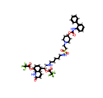 O=C(Nc1ccccc1-c1ccccc1)OC1CCN(CCS(=O)(=O)NCCCCCNC[C@H](OC(=O)C(F)(F)F)c2ccc(OC(=O)C(F)(F)F)c3[nH]c(=O)ccc23)CC1